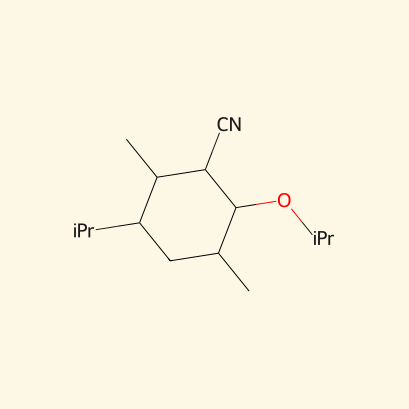 CC(C)OC1C(C)CC(C(C)C)C(C)C1C#N